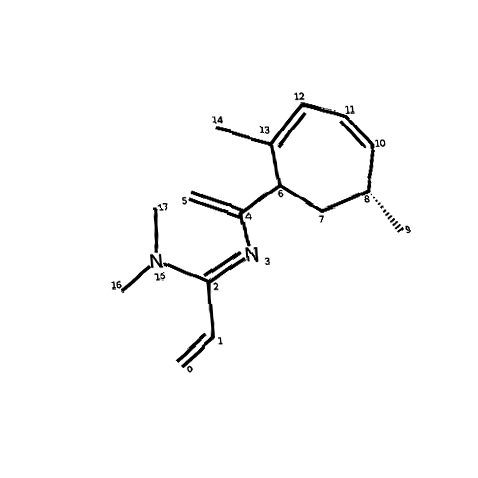 C=C/C(=N/C(=C)C1C[C@@H](C)C=CC=C1C)N(C)C